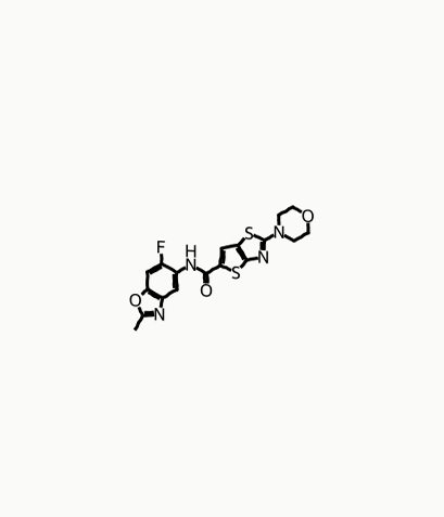 Cc1nc2cc(NC(=O)c3cc4sc(N5CCOCC5)nc4s3)c(F)cc2o1